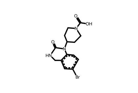 O=C(O)N1CCC(N2C(=O)NCc3cc(Br)ccc32)CC1